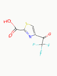 O=C(O)c1nc(C(=O)C(F)(F)F)cs1